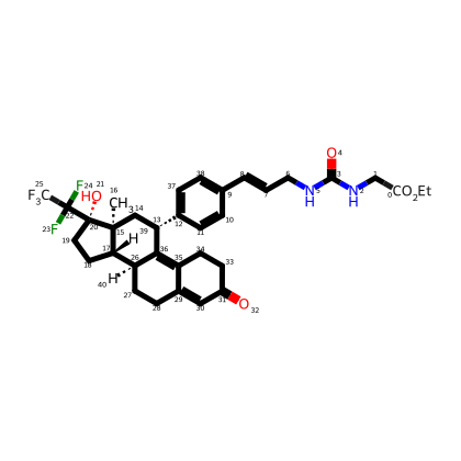 CCOC(=O)CNC(=O)NCC=Cc1ccc([C@H]2C[C@@]3(C)[C@@H](CC[C@@]3(O)C(F)(F)C(F)(F)F)[C@@H]3CCC4=CC(=O)CCC4=C32)cc1